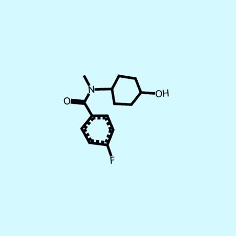 CN(C(=O)c1ccc(F)cc1)C1CCC(O)CC1